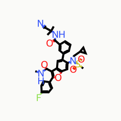 CNC(=O)c1c(-c2ccc(F)cc2)oc2cc(N(CC3CC3)S(C)(=O)=O)c(-c3cccc(C(=O)NC(C)(C)C#N)c3)cc12